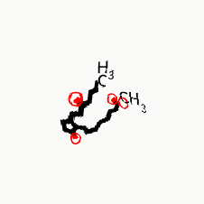 CCCCCC(=O)CCC1CCC(=O)C1C/C=C\CCCCC(=O)OC